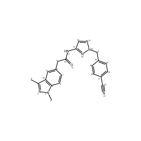 Cc1nn(C)c2ccc(CC(=O)Nc3cnn(Cc4ccc(C#N)cc4)n3)cc12